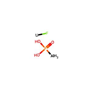 O=[P](O)(O)[AlH2].[Li][F]